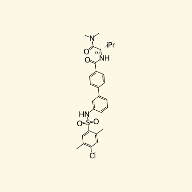 Cc1cc(S(=O)(=O)Nc2cccc(-c3ccc(C(=O)N[C@H](C(=O)N(C)C)C(C)C)cc3)c2)c(C)cc1Cl